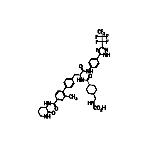 Cc1cc(C(=O)NC2CCCNC2=O)ccc1-c1ccc(C[C@H](NC(=O)[C@H]2CC[C@H](CNC(=O)O)CC2)C(=O)Nc2ccc(-c3nc(C(F)(F)C(F)(F)C(F)(F)F)n[nH]3)cc2)cc1